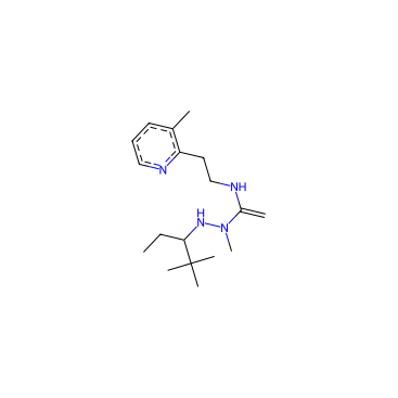 C=C(NCCc1ncccc1C)N(C)NC(CC)C(C)(C)C